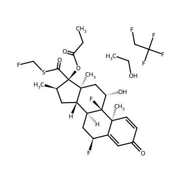 CCC(=O)O[C@]1(C(=O)SCF)[C@H](C)C[C@H]2[C@@H]3C[C@H](F)C4=CC(=O)C=C[C@]4(C)[C@@]3(F)[C@@H](O)C[C@@]21C.CCO.FCC(F)(F)F